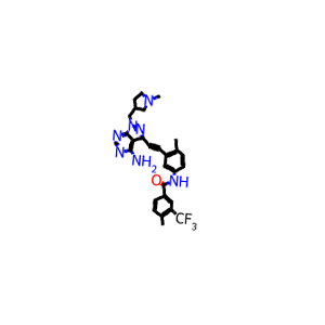 Cc1ccc(NC(=O)c2ccc(C)c(C(F)(F)F)c2)cc1C#Cc1nn(CC2CCN(C)C2)c2ncnc(N)c12